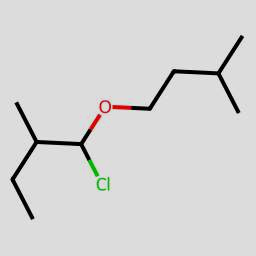 CCC(C)C(Cl)OCCC(C)C